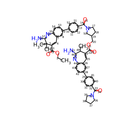 CCOC(=O)C1=Cc2cc(-c3ccc(C(=O)N4CCC(COC(=O)C5=Cc6cc(-c7ccc(C(=O)N8CCCC8)cc7)ccc6N=C(N)C5C)C4)cc3)ccc2N=C(N)C1(C)C